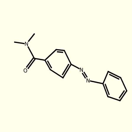 CN(C)C(=O)c1ccc(/N=N/c2ccccc2)cc1